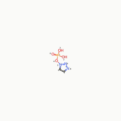 O=P(O)(O)On1ccnn1